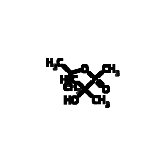 CC(C)OP(C)(=O)C(C)(C)O